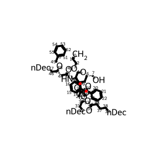 C=CCO[C@H]1O[C@H](CO)[C@@H](OP(=O)(c2ccccc2)c2ccccc2)[C@H](OC(=O)C[C@@H](CCCCCCCCCCC)OC(=O)CCCCCCCCCCCCC)[C@H]1NC(=O)C[C@H](CCCCCCCCCCC)OCc1ccccc1